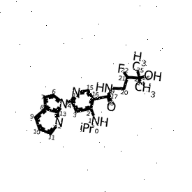 CC(C)Nc1cc(-n2ccc3cccnc32)ncc1C(=O)NCC(F)C(C)(C)O